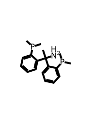 CP(C)c1ccccc1C(C)(N)c1ccccc1P(C)C